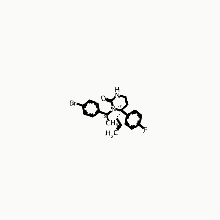 C=CC[C@@]1(c2ccc(F)cc2)CCNC(=O)N1[C@@H](C)c1ccc(Br)cc1